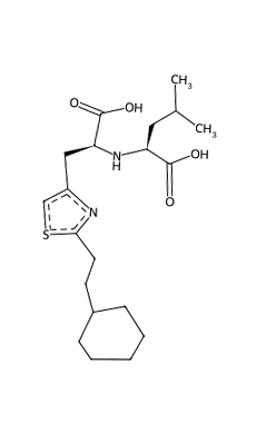 CC(C)C[C@H](N[C@@H](Cc1csc(CCC2CCCCC2)n1)C(=O)O)C(=O)O